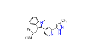 CCCCC(CC)Cc1c(-c2ccnc(-c3cc(C(F)(F)F)n[nH]3)c2)n(C)c2ccccc12